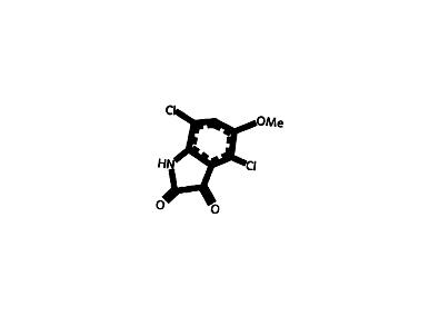 COc1cc(Cl)c2c(c1Cl)C(=O)C(=O)N2